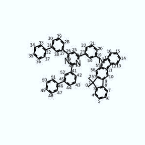 CC1(C)c2ccccc2-c2cc3c4ccccc4n(-c4cccc(-c5cc(-c6cccc(-c7ccccc7)c6)nc(-c6cccc(-c7ccccc7)c6)n5)c4)c3cc21